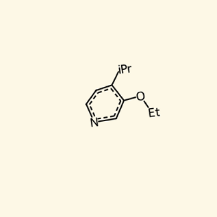 CCOc1cnccc1C(C)C